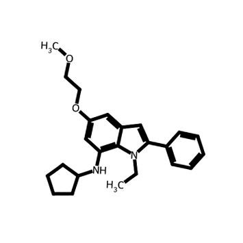 CCn1c(-c2ccccc2)cc2cc(OCCOC)cc(NC3CCCC3)c21